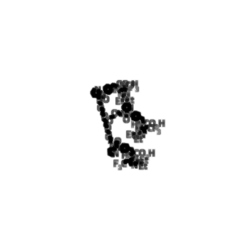 CCN(CC)c1ncc(CC(F)(F)F)c(N[C@@H](Cc2ccc(-n3c(=O)n(CCOCCOCC(COCCOCCn4c(=O)n(-c5ccc(C[C@H](Nc6nc(N(CC)CC)ncc6NC(F)(F)F)C(=O)O)cc5)c5ncccc54)OCCOCCn4c(=O)n(-c5ccc(C[C@H](Nc6nc(N(CC)CC)ncc6CC(F)(F)F)C(=O)O)cc5)c5ncccc54)c4cccnc43)cc2)C(=O)O)n1